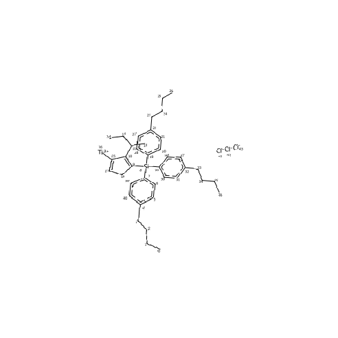 CCCCc1ccc([Si](C2=C(C(C)CC)[C]([Ti+3])=CC2)(c2ccc(CCCC)cc2)c2ccc(CCCC)cc2)cc1.[Cl-].[Cl-].[Cl-]